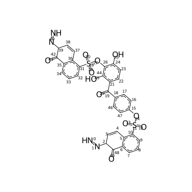 N=NC1C=Cc2c(cccc2S(=O)(=O)Oc2ccc(C(=O)c3ccc(O)c(OS(=O)(=O)c4cccc5c4C=CC(N=N)C5=O)c3O)cc2)C1=O